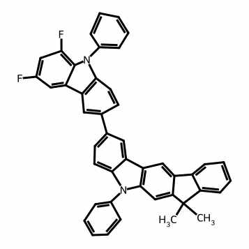 CC1(C)c2ccccc2-c2cc3c4cc(-c5ccc6c(c5)c5cc(F)cc(F)c5n6-c5ccccc5)ccc4n(-c4ccccc4)c3cc21